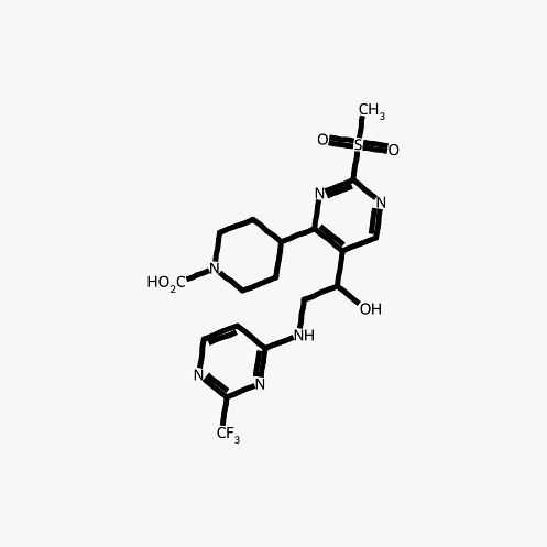 CS(=O)(=O)c1ncc(C(O)CNc2ccnc(C(F)(F)F)n2)c(C2CCN(C(=O)O)CC2)n1